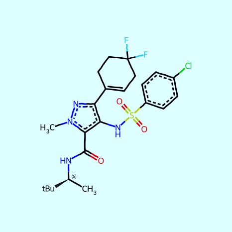 C[C@H](NC(=O)c1c(NS(=O)(=O)c2ccc(Cl)cc2)c(C2=CCC(F)(F)CC2)nn1C)C(C)(C)C